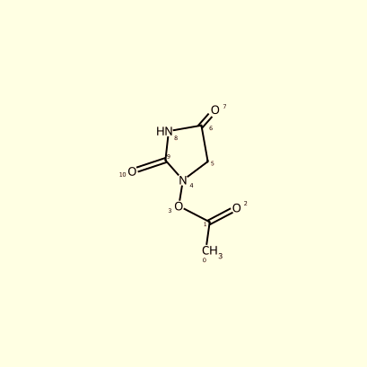 CC(=O)ON1CC(=O)NC1=O